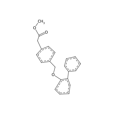 COC(=O)Cc1ccc(COc2ccccc2-c2ccccc2)cc1